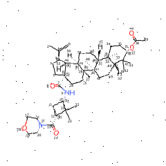 C=C(C)[C@@H]1CC[C@]2(C(=O)N[C@H]3C[C@@H](C(=O)N4CCOCC4)C3(C)C)CC[C@]3(C)[C@H](CC[C@@H]4[C@@]5(C)CC[C@H](OC(C)=O)C(C)(C)[C@@H]5CC[C@]43C)[C@@H]12